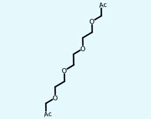 CC(=O)COCCOCCOCCOCC(C)=O